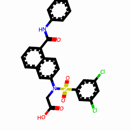 O=C(O)CN(c1ccc2c(C(=O)Nc3ccccc3)cccc2c1)S(=O)(=O)c1cc(Cl)cc(Cl)c1